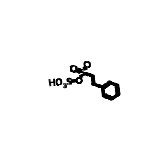 O=S(=O)(O)OS(=O)(=O)CCc1ccccc1